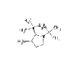 CC(C)(C)[C@@H]1[C@H](N)CCN1C(C)(C)C